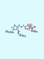 CCCCCCC=C[C@@H]1[C@H](CCCCCC(O)(O)C(=O)OC)CC[C@H]1CSC